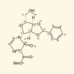 COC(=O)c1nccn([C@@H]2O[C@H](CO)[C@H]3OC(c4ccccc4)O[C@H]32)c1=O